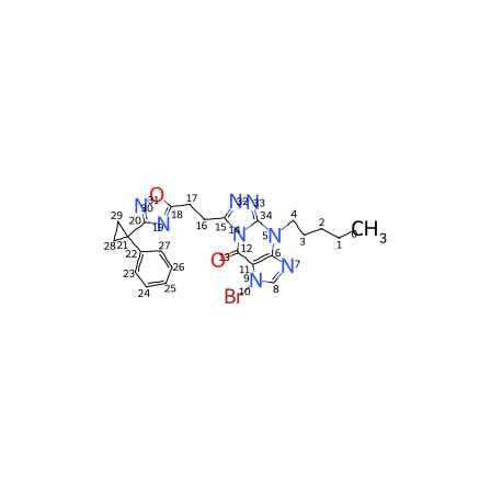 CCCCCn1c2ncn(Br)c2c(=O)n2c(CCc3nc(C4(c5ccccc5)CC4)no3)nnc12